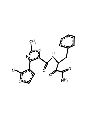 Cc1nc(-c2ccoc2Cl)c(C(=O)NC(Cc2ccccc2)C(=O)C(N)=O)o1